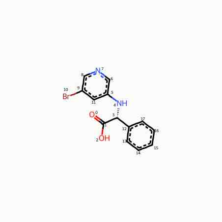 O=C(O)[C@H](Nc1cncc(Br)c1)c1ccccc1